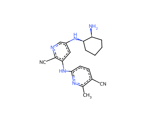 Cc1nc(Nc2cc(N[C@@H]3CCCC[C@@H]3N)cnc2C#N)ccc1C#N